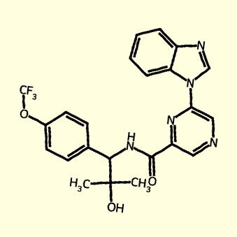 CC(C)(O)C(NC(=O)c1cncc(-n2cnc3ccccc32)n1)c1ccc(OC(F)(F)F)cc1